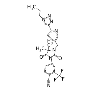 CCCn1cc(-c2ccc(CN3C(=O)N(c4ccc(C#N)c(C(F)(F)F)c4)C(=O)C3(C)C)cn2)nn1